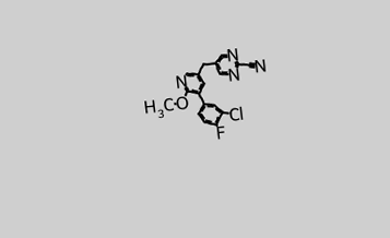 COc1ncc(Cc2cnc(C#N)nc2)cc1-c1ccc(F)c(Cl)c1